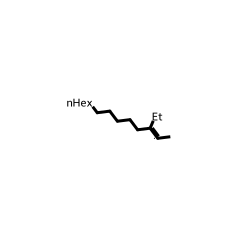 C/[C]=C(\CC)CCCCCCCCCCC